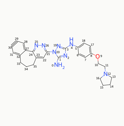 Nc1nc(Nc2ccc(OCCN3CCCC3)cc2)nn1-c1cc2c(nn1)-c1cc#ccc1CCC2